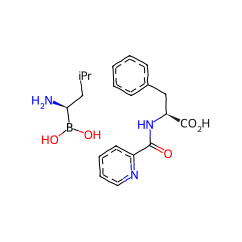 CC(C)C[C@H](N)B(O)O.O=C(N[C@@H](Cc1ccccc1)C(=O)O)c1ccccn1